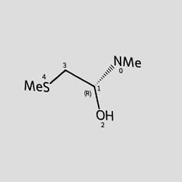 CN[C@H](O)CSC